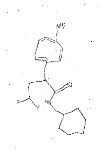 Nc1ccc(C(CC(F)F)C(=O)NC2CCCCC2)cc1